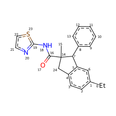 CCc1ccc2c(c1)C(c1ccccc1)C(C)(C(=O)Nc1nccs1)C2